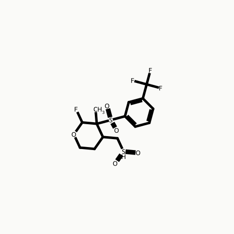 CC1(S(=O)(=O)c2cccc(C(F)(F)F)c2)C(C[SH](=O)=O)CCOC1F